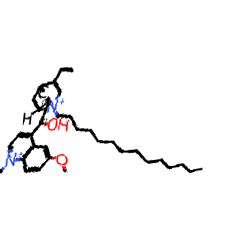 C=CC1C[N+]2(CCCCCCCCCCCCCC)CCC1C[C@H]2[C@@H](O)c1cc[n+](C)c2ccc(OC)cc12